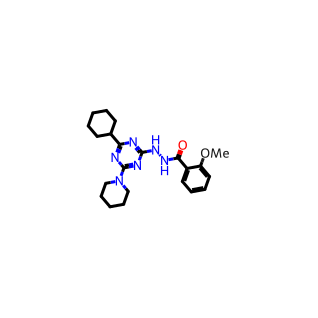 COc1ccccc1C(=O)NNc1nc(C2CCCCC2)nc(N2CCCCC2)n1